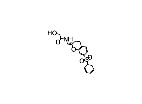 O=C(CO)NC[C@H]1CCc2ccc(S(=O)(=O)C3C=CC=CC3)cc2O1